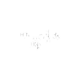 Cc1oncc1C(=O)Nc1ccc(OCCN)c(-c2ccn[nH]2)c1